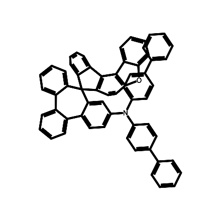 c1ccc(-c2ccc(N(c3ccc(-c4ccccc4)cc3)c3ccc4c(c3)C3(c5ccccc5-c5ccccc5-4)c4ccccc4-c4c3ccc3oc5ccccc5c43)cc2)cc1